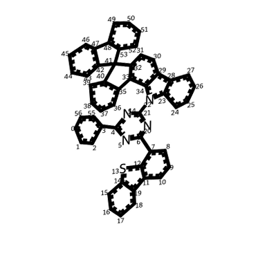 c1ccc(-c2nc(-c3cccc4c3sc3ccccc34)nc(-n3c4ccccc4c4ccc5c(c43)-c3ccccc3C53c4ccccc4-c4ccccc43)n2)cc1